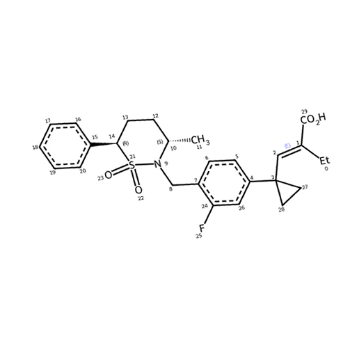 CC/C(=C\C1(c2ccc(CN3[C@@H](C)CC[C@H](c4ccccc4)S3(=O)=O)c(F)c2)CC1)C(=O)O